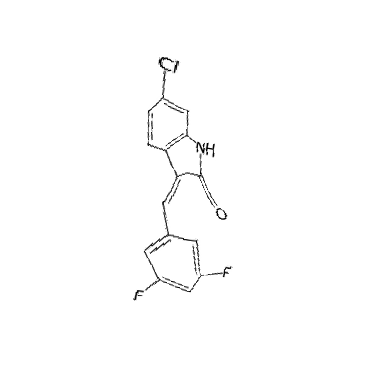 O=C1Nc2cc(Cl)ccc2C1=Cc1cc(F)cc(F)c1